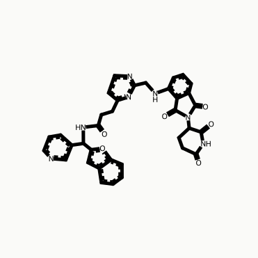 O=C1CCC(N2C(=O)c3cccc(NCc4nccc(CCC(=O)NC(c5cccnc5)c5cc6ccccc6o5)n4)c3C2=O)C(=O)N1